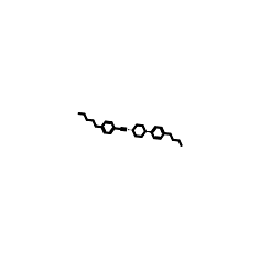 CCCCCc1ccc(C#C[C@H]2CC[C@H](c3ccc(CCCC)cc3)CC2)cc1